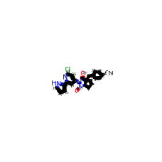 N#Cc1ccc(CC23CCCC2[N+](=O)N(c2cc(Cl)nc(-c4ccc[nH]4)c2)C3=O)cc1